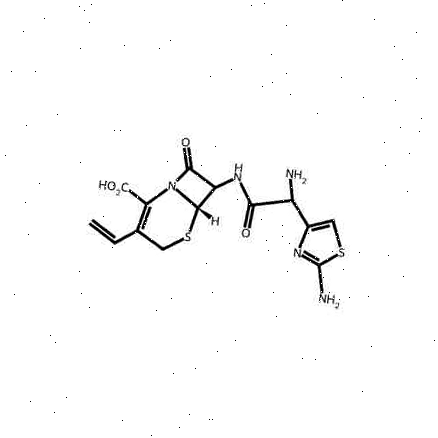 C=CC1=C(C(=O)O)N2C(=O)C(NC(=O)C(N)c3csc(N)n3)[C@@H]2SC1